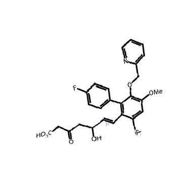 COc1cc(C(C)C)c(/C=C/C(O)CC(=O)CC(=O)O)c(-c2ccc(F)cc2)c1OCc1ccccn1